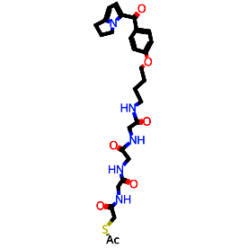 CC(=O)SCC(=O)NCC(=O)NCC(=O)NCC(=O)NCCCCOc1ccc(C(=O)c2ccc3n2CCC3)cc1